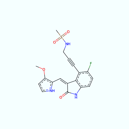 COc1cc[nH]c1C=C1C(=O)Nc2ccc(F)c(C#CCNS(C)(=O)=O)c21